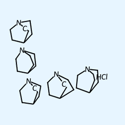 C1CN2CCC1CC2.C1CN2CCC1CC2.C1CN2CCC1CC2.C1CN2CCC1CC2.C1CN2CCC1CC2.Cl